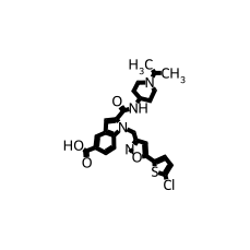 CC(C)N1CCC(NC(=O)c2cc3cc(C(=O)O)ccc3n2Cc2cc(-c3ccc(Cl)s3)on2)CC1